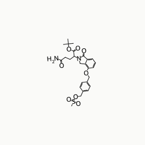 CC(C)(C)OC(=O)C(CCC(N)=O)N1Cc2c(OCc3ccc(COS(C)(=O)=O)cc3)cccc2C1=O